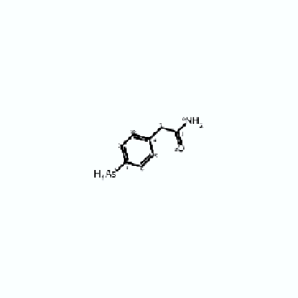 NC(=O)Cc1ccc([AsH2])cc1